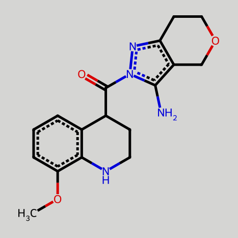 COc1cccc2c1NCCC2C(=O)n1nc2c(c1N)COCC2